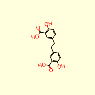 O=C(O)c1cc(CCc2ccc(O)c(C(=O)O)c2)ccc1O